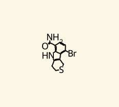 NC(=O)c1ccc(Br)c2c3c([nH]c12)CCSC3